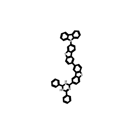 c1ccc(C2=NC(c3ccc4sc5ccc(-c6ccc7sc8cc(-n9c%10ccccc%10c%10ccccc%109)ccc8c7c6)cc5c4c3)NC(c3ccccc3)N2)cc1